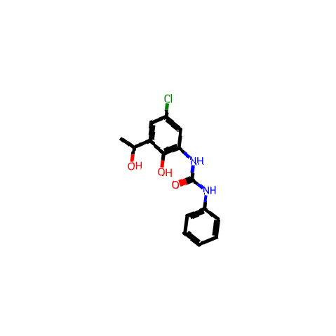 CC(O)c1cc(Cl)cc(NC(=O)Nc2ccccc2)c1O